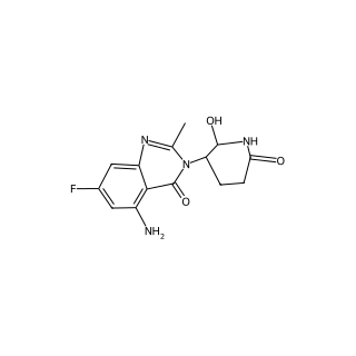 Cc1nc2cc(F)cc(N)c2c(=O)n1C1CCC(=O)NC1O